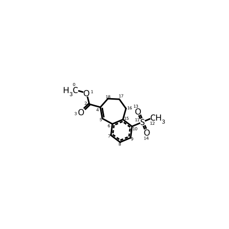 COC(=O)C1=Cc2cccc(S(C)(=O)=O)c2CCC1